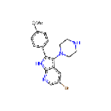 COc1ccc(-c2[nH]c3ncc(Br)cc3c2N2CCNCC2)cc1